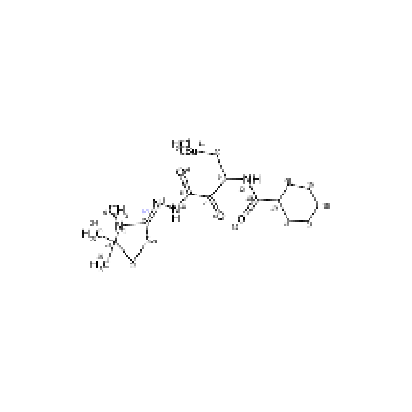 CN1/C(=N/NC(=O)C(=O)C(CC(C)(C)C)NC(=O)C2CCCCC2)SCC1(C)C.Cl